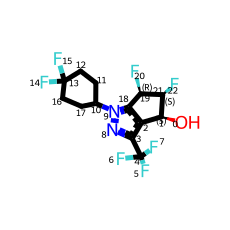 O[C@H]1c2c(C(F)(F)F)nn(C3CCC(F)(F)CC3)c2[C@@H](F)[C@H]1F